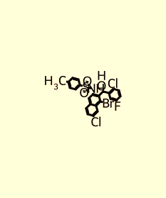 Cc1ccc(S(=O)(=O)Nc2cc3ccc(Cl)cc3c(Br)c2C(O)c2cc(F)ccc2Cl)cc1